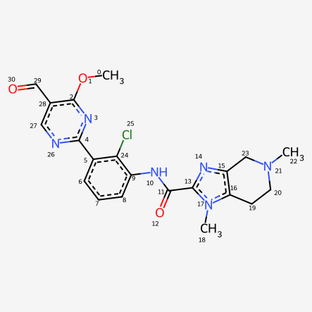 COc1nc(-c2cccc(NC(=O)c3nc4c(n3C)CCN(C)C4)c2Cl)ncc1C=O